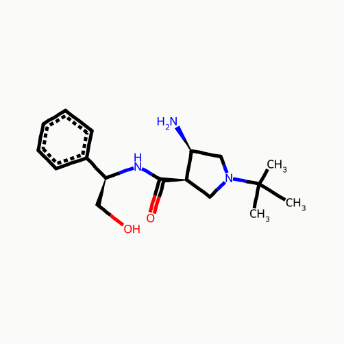 CC(C)(C)N1C[C@H](N)[C@H](C(=O)N[C@@H](CO)c2ccccc2)C1